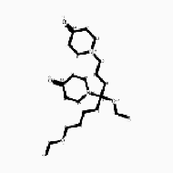 CCOCCCCC(CCCN1CCC(=O)CC1)(OCC)N1CCC(=O)CC1